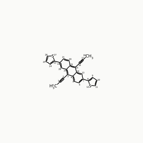 CC#Cc1c2ccc(-c3cccs3)cc2c(C#CC)c2ccc(-c3cccs3)cc12